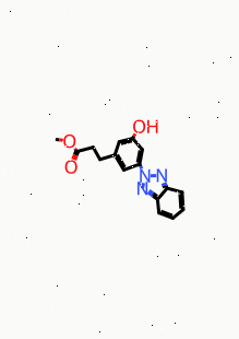 COC(=O)CCc1cc(O)cc(-n2nc3ccccc3n2)c1